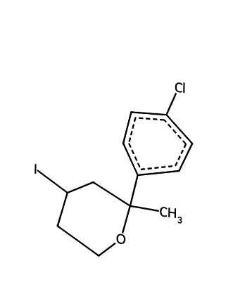 CC1(c2ccc(Cl)cc2)CC(I)CCO1